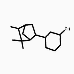 CC1C2CC(C3CCCC(O)C3)C(C2)C1(C)C